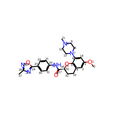 COc1cc2c(c(N3CCN(C)CC3)c1)O[C@H](C(=O)Nc1ccc(-c3nc(C)no3)cc1)CC2